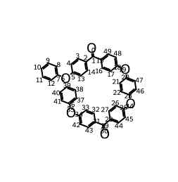 O=C(c1ccc(Oc2ccccc2)cc1)c1ccc(Oc2ccc(Oc3ccc(C(=O)c4ccc(Oc5ccccc5)cc4)cc3)cc2)cc1